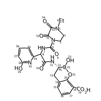 CCN1CCN(C(=O)NC(C(=O)N[C@H]2Cc3cccc(C(=O)O)c3OB2O)c2cccc(O)n2)C(=O)C1=O